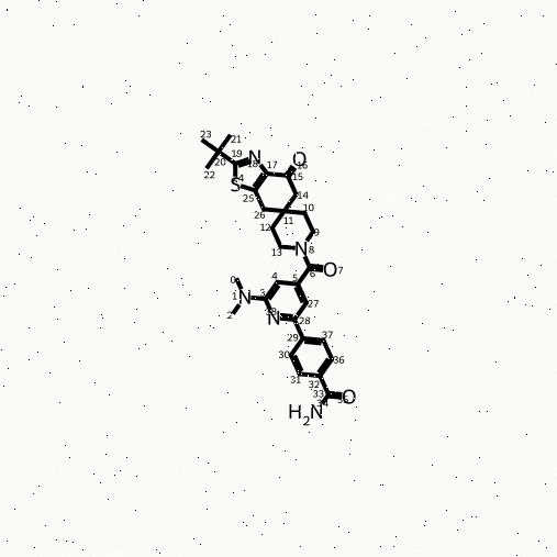 CN(C)c1cc(C(=O)N2CCC3(CC2)CC(=O)c2nc(C(C)(C)C)sc2C3)cc(-c2ccc(C(N)=O)cc2)n1